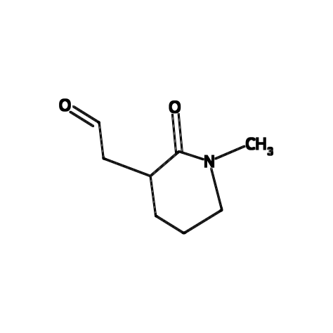 CN1CCCC(CC=O)C1=O